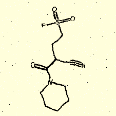 N#CC(CCS(=O)(=O)F)C(=O)N1CCCCC1